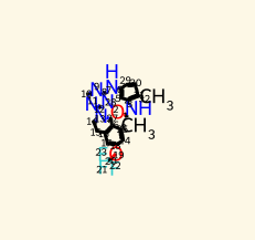 CC(=O)Nc1cc(Nc2ncnc(N3CCc4cc(OC(F)(F)F)ccc4C3)n2)ccc1C